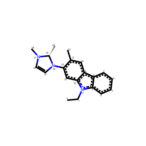 CCn1c2ccccc2c2cc(C)c(N3C=CN(C)[C@@H]3C)cc21